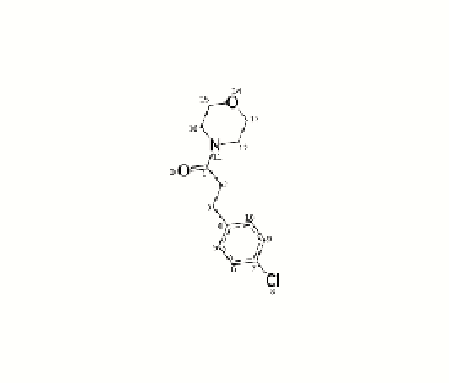 O=C(CCc1ccc(Cl)cc1)N1CCOCC1